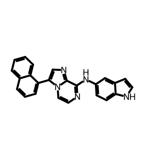 c1ccc2c(-c3cnc4c(Nc5ccc6[nH]ccc6c5)nccn34)cccc2c1